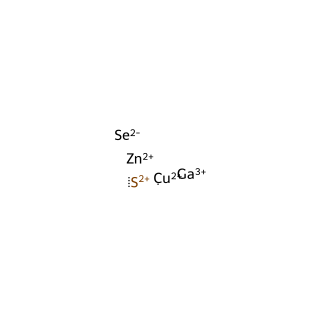 [Cu+2].[Ga+3].[S+2].[Se-2].[Zn+2]